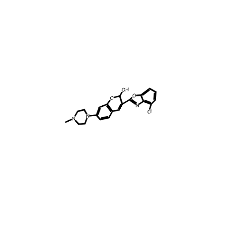 CN1CCN(c2ccc3c(c2)OC(O)C(c2nc4c(Cl)cccc4o2)=C3)CC1